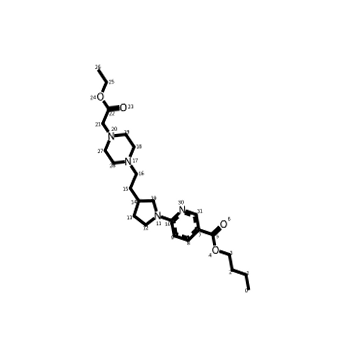 CCCCOC(=O)c1ccc(N2CCC(CCN3CCN(CC(=O)OCC)CC3)C2)nc1